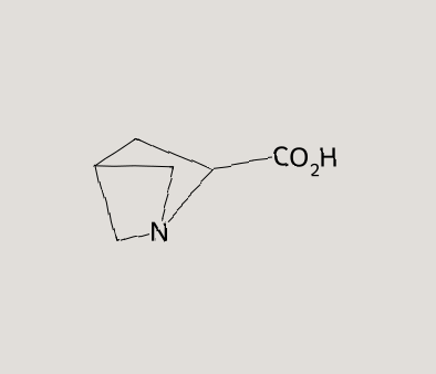 O=C(O)C1CC2CN1C2